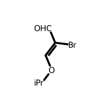 CC(C)O/C=C(\Br)C=O